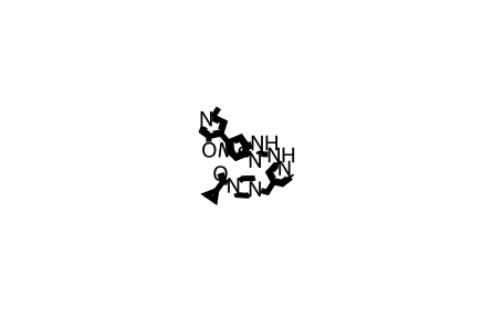 COc1cnc(C)cc1-c1ccc2nc(Nc3cc(CN4CCN(C(=O)C5CC5)CC4)ccn3)[nH]c2c1